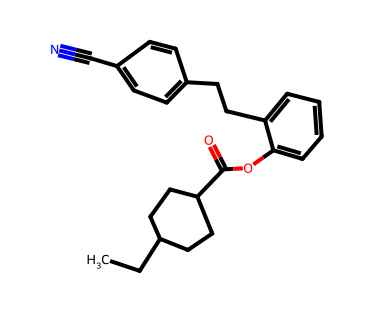 CCC1CCC(C(=O)Oc2ccccc2CCc2ccc(C#N)cc2)CC1